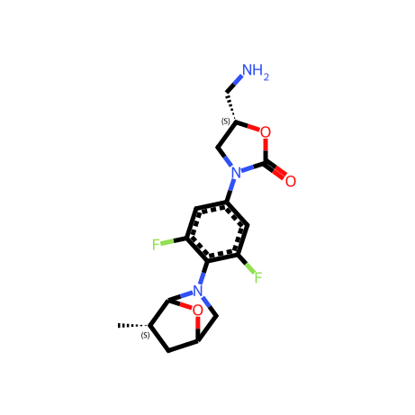 C[C@H]1CC2CN(c3c(F)cc(N4C[C@H](CN)OC4=O)cc3F)C1O2